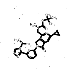 CC(C)n1cnnc1-c1cccc(N2Cc3c(cc(C4CC4)nc3CN(C)C(=O)OC(C)(C)C)C2=O)n1